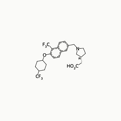 O=C(O)C[C@H]1CCN(Cc2ccc3c(C(F)(F)F)c(OC4CCC(C(F)(F)F)CC4)ccc3c2)C1